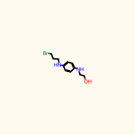 OCCNc1ccc(NCCCBr)cc1